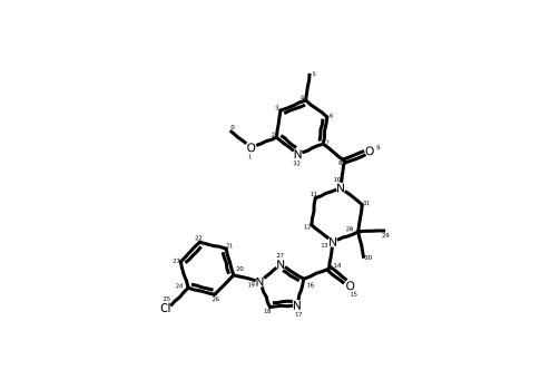 COc1cc(C)cc(C(=O)N2CCN(C(=O)c3ncn(-c4cccc(Cl)c4)n3)C(C)(C)C2)n1